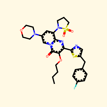 CCCCOc1c(-c2ncc(Cc3ccc(F)cc3)s2)nc2c(N3CCCS3(=O)=O)cc(N3CCOCC3)cn2c1=O